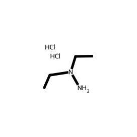 CCN(N)CC.Cl.Cl